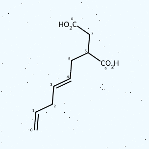 C=CCC=CCC(CC(=O)O)C(=O)O